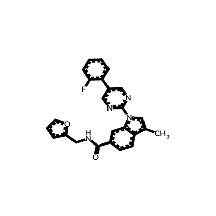 Cc1cn(-c2ncc(-c3ccccc3F)cn2)c2cc(C(=O)NCc3ccco3)ccc12